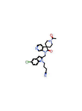 CC(=O)N1CCC2(CC1)C(=O)N(Cc1cc3cc(Cl)ccc3n1CCCC#N)c1cnccc12